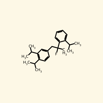 CC(C)c1ccc(CC(C)(F)c2ccccc2C(C)C)cc1C(C)C